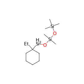 CCC1([SiH2]O[Si](C)(C)O[Si](C)(C)C)CCCCC1